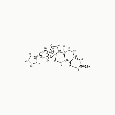 C[C@]12CCC3=C4CCC(=O)C=C4CC[C@H]3[C@@H]1CC[C@@]2(O)C=C=C1CCCC1